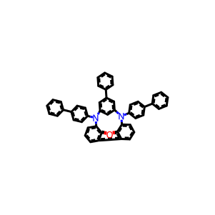 c1ccc(-c2ccc(N3c4cc(-c5ccccc5)cc(c4)N(c4ccc(-c5ccccc5)cc4)c4cccc5c4oc4c3cccc45)cc2)cc1